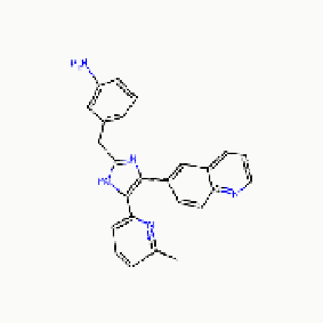 Cc1cccc(-c2[nH]c(Cc3cccc(N)c3)nc2-c2ccc3ncccc3c2)n1